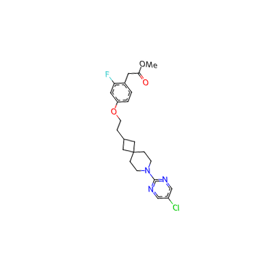 COC(=O)Cc1ccc(OCCC2CC3(CCN(c4ncc(Cl)cn4)CC3)C2)cc1F